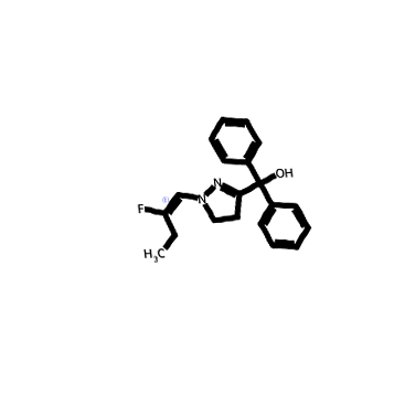 CC/C(F)=C\N1CCC(C(O)(c2ccccc2)c2ccccc2)=N1